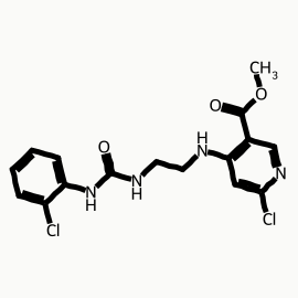 COC(=O)c1cnc(Cl)cc1NCCNC(=O)Nc1ccccc1Cl